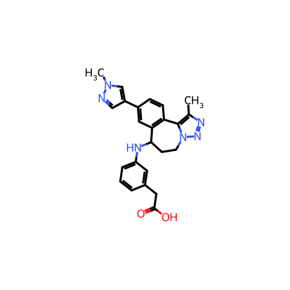 Cc1nnn2c1-c1ccc(-c3cnn(C)c3)cc1C(Nc1cccc(CC(=O)O)c1)CC2